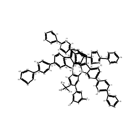 Fc1cc(F)cc(-c2cc(-n3c4cc(-c5ccc(-c6ccccc6)nc5)ccc4c4ccc(-c5ccc(-c6ccccc6)nc5)cc43)c(-n3c4cc(-c5ccc(-c6ccccc6)nc5)ccc4c4ccc(-c5ccc(-c6ccccc6)nc5)cc43)cc2C(F)(F)F)c1